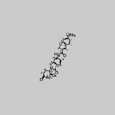 COc1ccc2c(c1)OCC(C(=O)Nc1ccc3c(c1)CN(C1CCC(=O)NC1=O)C3=O)=C2